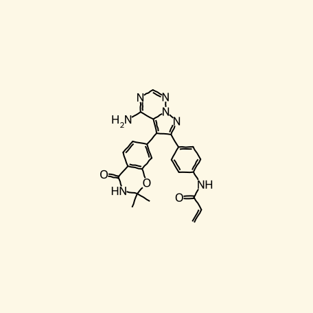 C=CC(=O)Nc1ccc(-c2nn3ncnc(N)c3c2-c2ccc3c(c2)OC(C)(C)NC3=O)cc1